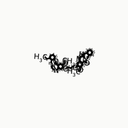 CCc1ccccc1CN1CC=Nc2cc(OCCCOc3cc4c(cc3OC)C(=O)N3Cc5ccccc5C[C@H]3C=N4)c(OC)cc2C1=O